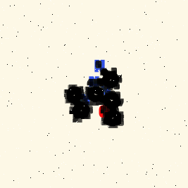 N#Cc1cccc(-n2c3ccc(-n4c5ccccc5c5ccccc54)cc3c3c4oc5ccccc5c4ccc32)c1C#N